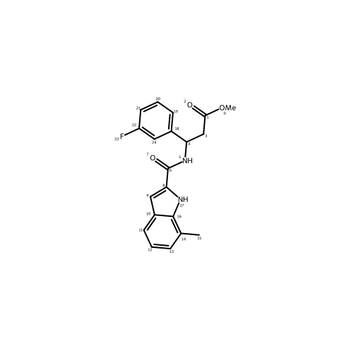 COC(=O)CC(NC(=O)c1cc2cccc(C)c2[nH]1)c1cccc(F)c1